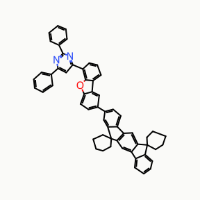 c1ccc(-c2cc(-c3cccc4c3oc3ccc(-c5ccc6c(c5)C5(CCCCC5)c5cc7c(cc5-6)C5(CCCCC5)c5ccccc5-7)cc34)nc(-c3ccccc3)n2)cc1